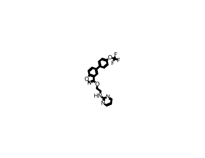 FC(F)(F)Oc1ccc(-c2ccc3onc(OCCNc4ncccn4)c3c2)cc1